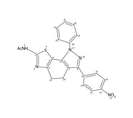 CC(=O)Nc1nc2c(s1)-c1c(c(-c3ccc([N+](=O)[O-])cc3)nn1-c1ccccc1)CC2